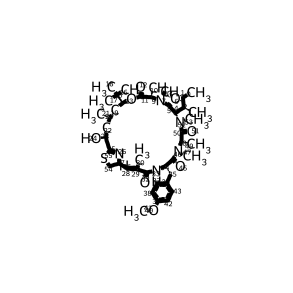 CC[C@H](C)[C@H]1C(=O)N(C)[C@@H](C)C(=O)O[C@H](C(C)(C)C)C[C@@H](C)C[C@H](O)C2=N[C@@H](/C=C(\C)C(=O)N[C@@H](Cc3ccc(OC)cc3)C(=O)N(C)[C@@H](C)C(=O)N1C)CS2